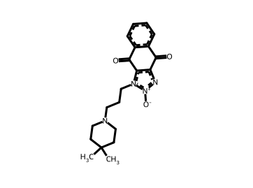 CC1(C)CCN(CCCn2c3c(n[n+]2[O-])C(=O)c2ccccc2C3=O)CC1